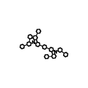 c1ccc(-c2cccc(-n3c4ccc(-c5ccc(-c6ccc7c(c6)c6cc(-c8ccccc8)ccc6n7-c6ccc(-c7ccccc7)cc6-c6ccccc6)cc5)cc4c4c(-c5ccccc5)cccc43)c2)cc1